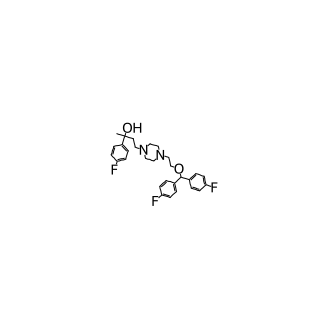 CC(O)(CCN1CCN(CCOC(c2ccc(F)cc2)c2ccc(F)cc2)CC1)c1ccc(F)cc1